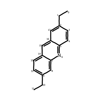 CCc1ccc2nc3cc(CC)ccc3cc2c1